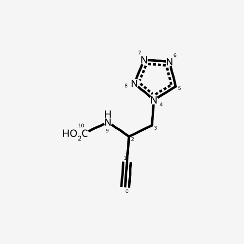 C#CC(Cn1cnnn1)NC(=O)O